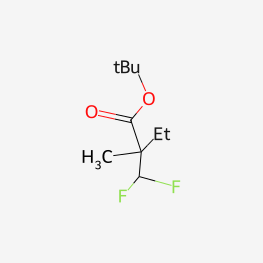 CCC(C)(C(=O)OC(C)(C)C)C(F)F